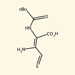 CCCCC(=O)N/C(C(=O)O)=C(\N)C=S